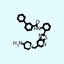 NC1CCN(Cc2cnc3sc(-c4ccccc4NC(=O)c4cccc(-c5ccccc5)c4)nc3c2)CC1